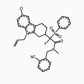 C=CCn1c2c(c3cc(Cl)ccc31)CCC(C(F)(C(=O)N(C)Cc1ccccc1C#N)S(=O)(=O)c1ccccc1)C2